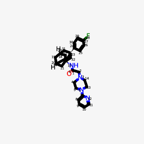 O=C(CN1CCN(c2ccccn2)CC1)N[C@@]12C[C@H]3C[C@@H](C1)C[C@@](c1ccc(F)cc1)(C3)C2